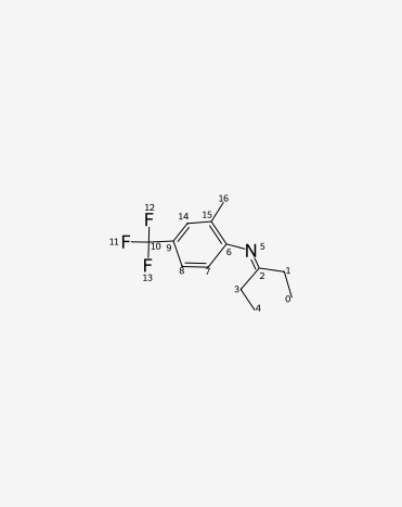 CCC(CC)=Nc1ccc(C(F)(F)F)cc1C